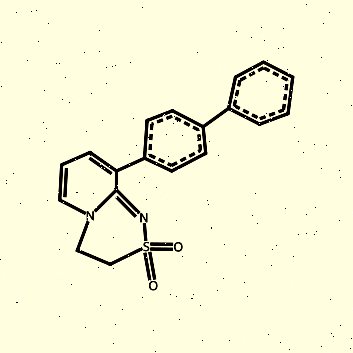 O=S1(=O)CCN2C=CC=C(c3ccc(-c4ccccc4)cc3)C2=N1